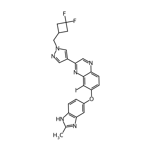 Cc1nc2cc(Oc3ccc4ncc(-c5cnn(CC6CC(F)(F)C6)c5)nc4c3I)ccc2[nH]1